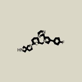 Fc1ccc(-c2cc3n(c2)Cc2cc(N4CCC5(CNC5)C4)ccc2-n2ccnc2-3)cc1